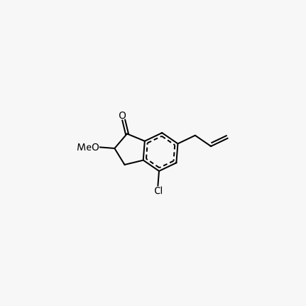 C=CCc1cc(Cl)c2c(c1)C(=O)C(OC)C2